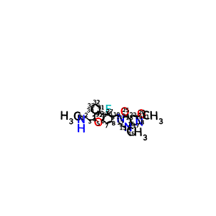 CNCC[C@H](Oc1ccc(CN2CCN(C)c3cnc(OC)cc3C2=O)c(F)c1)c1ccccc1